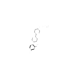 CCCCC[C@H]1CC[C@H]([C@H]2CC[C@H](c3ccc(F)cc3F)CC2)CC1